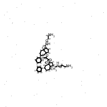 C[C@]12CC[C@H](c3ccccc3)C[C@@]1(OC(=O)C(=O)O[C@]13CC[C@H](CNOCCN)[C@@]1(C)CC[C@H](c1ccccc1)C3)CC[C@@H]2CNOCCN